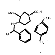 COC1CN(C(=O)O)CCC1NC(C)c1ccccc1.Cc1ccc(S(=O)(=O)O)cc1